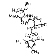 COC(=O)[C@@H](NC(=O)c1ncc(Cl)cc1NC(=O)Nc1c(C)cc(C)cc1C)[C@@H](C)OC(C)(C)C